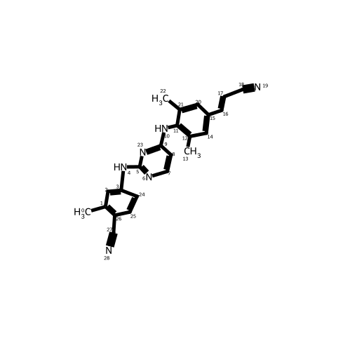 Cc1cc(Nc2nccc(Nc3c(C)cc(/C=C/C#N)cc3C)n2)ccc1C#N